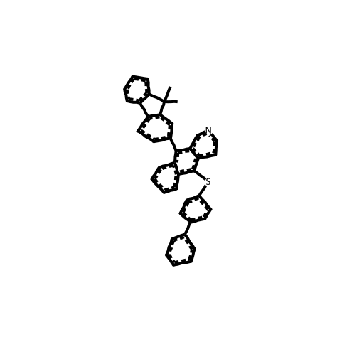 CC1(C)c2ccccc2-c2ccc(-c3c4ccccc4c(Sc4ccc(-c5ccccc5)cc4)c4ccncc34)cc21